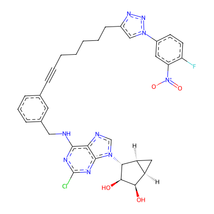 O=[N+]([O-])c1cc(-n2cc(CCCCCC#Cc3cccc(CNc4nc(Cl)nc5c4ncn5[C@H]4[C@H](O)[C@H](O)[C@@H]5C[C@@H]54)c3)nn2)ccc1F